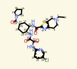 CCN1CCc2nc(C(=O)N[C@@H]3C[C@@H](C(=O)N4CCCC4)CC[C@@H]3NC(=O)C(=O)Nc3ccc(Cl)cn3)sc2C1